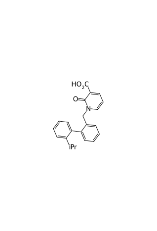 CC(C)c1ccccc1-c1ccccc1Cn1cccc(C(=O)O)c1=O